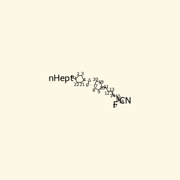 CCCCCCC[C@H]1CC[C@H](CC[C@H]2CC[C@H](CCC=CC=C(F)C#N)CC2)CC1